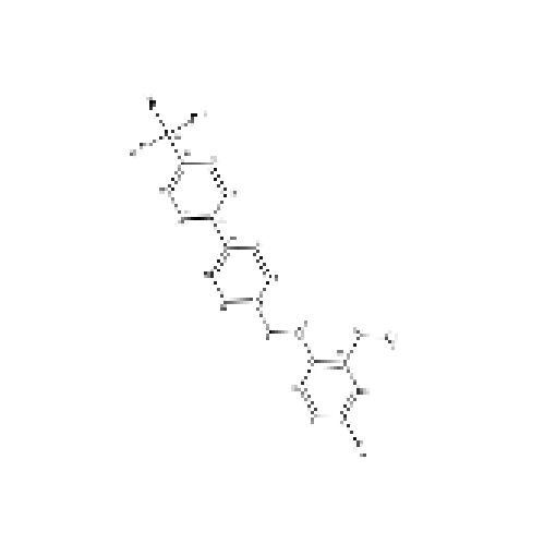 Fc1ccc(OCc2ccc(-c3ccc(C(F)(F)F)cc3)cc2)c(CCl)c1